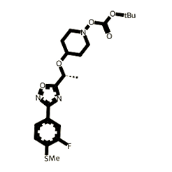 CSc1ccc(-c2noc([C@@H](C)OC3CCN(OC(=O)OC(C)(C)C)CC3)n2)cc1F